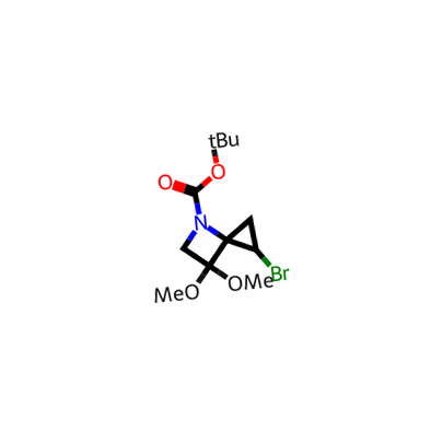 COC1(OC)CN(C(=O)OC(C)(C)C)C12CC2Br